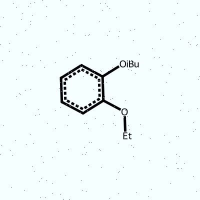 [CH2]COc1ccccc1OCC(C)C